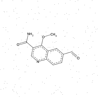 COc1c(C(N)=O)cnc2ccc(C=O)cc12